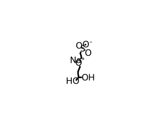 O=S(=O)([O-])CCOCCC(O)O.[Na+]